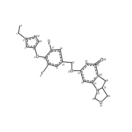 CCn1cc(Oc2c(F)cc(COc3cc4n(c(=O)n3)CC3COCN43)cc2F)cn1